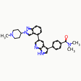 CN1CCC(n2cc3c(-c4cnc5[nH]cc(-c6ccc(C(=O)N(C)C)cc6)c5c4)cccc3n2)CC1